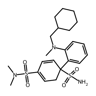 CN(CC1CCCCC1)c1ccccc1C1(S(N)(=O)=O)C=CC(S(=O)(=O)N(C)C)=CC1